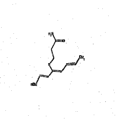 CC=CC=C(C=CCCCC)SCCC(N)=O